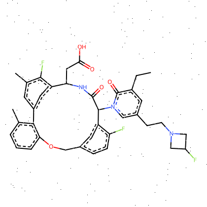 CCc1cc(CCN2CC(F)C2)cn(C2C(=O)NC(CC(=O)O)c3cc(cc(C)c3F)-c3c(C)cccc3OCc3ccc(F)c2c3)c1=O